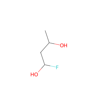 CC(O)CC(O)F